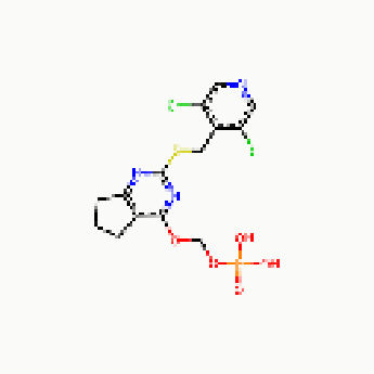 O=P(O)(O)OCOc1nc(SCc2c(Cl)cncc2Cl)nc2c1CCC2